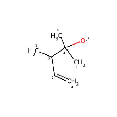 C=CC(C)C(C)(C)[O]